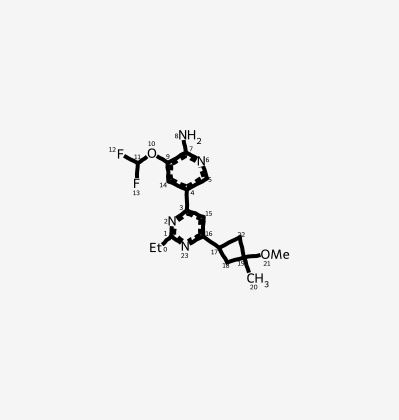 CCc1nc(-c2cnc(N)c(OC(F)F)c2)cc(C2CC(C)(OC)C2)n1